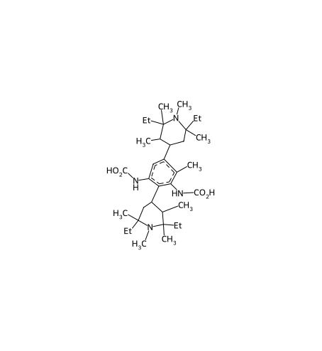 CCC1(C)CC(c2cc(NC(=O)O)c(C3CC(C)(CC)N(C)C(C)(CC)C3C)c(NC(=O)O)c2C)C(C)C(C)(CC)N1C